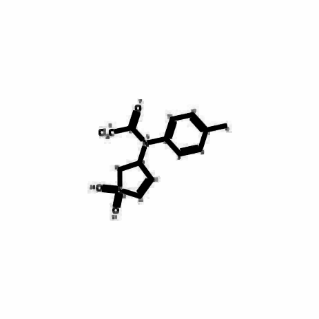 Cc1ccc(N(C(=O)C(Cl)(Cl)Cl)C2C=CS(=O)(=O)C2)cc1